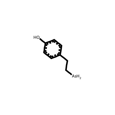 Oc1ccc(CC[AsH2])cc1